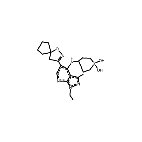 CCn1nc(C)c2c(NC3CCS(O)(O)CC3)c(C3=NOC4(CCCC4)C3)cnc21